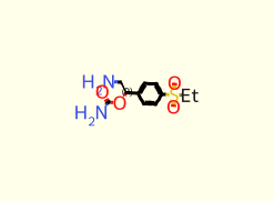 CCS(=O)(=O)c1ccc([C@H](CN)OC(N)=O)cc1